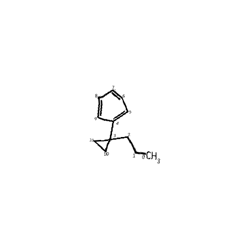 CCCC1(c2cc[c]cc2)CC1